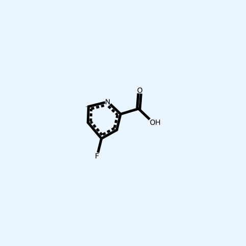 O=C(O)c1cc(F)c[c]n1